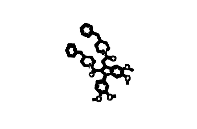 COc1ccc(C2c3cc(OC)c(OC)cc3C(CC(=O)N3CCC(Cc4ccccc4)CC3)C2C(=O)N2CCC(Cc3ccccc3)CC2)cc1OC